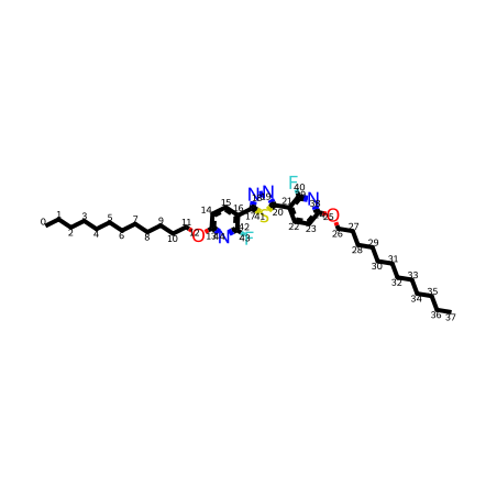 CCCCCCCCCCCCOc1ccc(-c2nnc(-c3ccc(OCCCCCCCCCCCC)nc3F)s2)c(F)n1